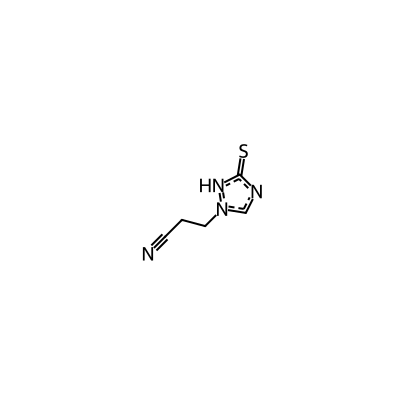 N#CCCn1cnc(=S)[nH]1